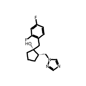 O[C@@]1(Cc2ccc(F)cc2F)CCC[C@H]1Cn1cncn1